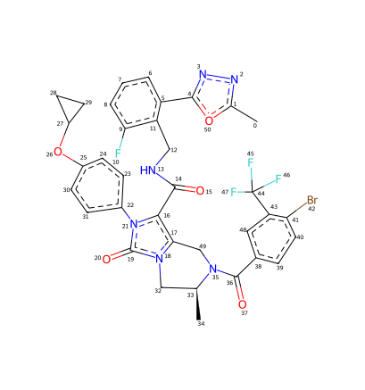 Cc1nnc(-c2cccc(F)c2CNC(=O)c2c3n(c(=O)n2-c2ccc(OC4CC4)cc2)C[C@H](C)N(C(=O)c2ccc(Br)c(C(F)(F)F)c2)C3)o1